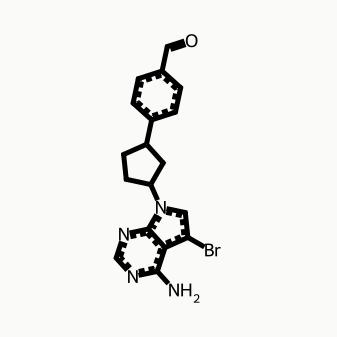 Nc1ncnc2c1c(Br)cn2C1CCC(c2ccc(C=O)cc2)C1